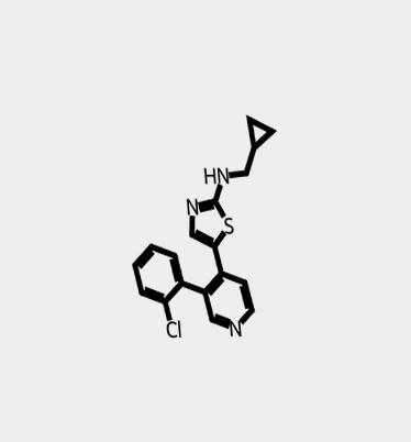 Clc1ccccc1-c1cnccc1-c1cnc(NCC2CC2)s1